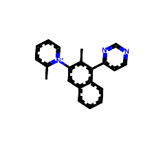 Cc1c(-[n+]2ccccc2C)cc2ccccc2c1-c1ccncn1